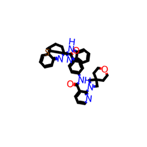 O=C(Nc1ccc(C(=O)C2CCC3C=C(c4nc5ccccc5[nH]4)SC34C=CC=CC4=N2)cc1)c1cccnc1N1CC2(CCOCC2)C1